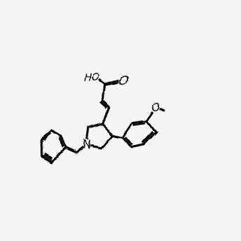 COc1cccc(C2CN(Cc3ccccc3)CC2C=CC(=O)O)c1